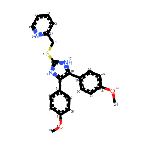 COc1ccc(-c2nc(SCc3ccccn3)[nH]c2-c2ccc(OC)cc2)cc1